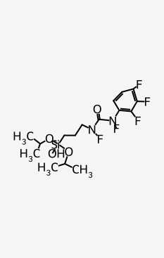 CC(C)O[Si](O)(CCCN(F)C(=O)N(F)c1ccc(F)c(F)c1F)OC(C)C